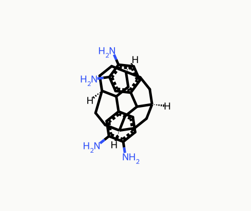 Nc1ccc(C2C[C@H]3CC[C@@H]2CC[C@@H]2CC[C@H](CC3)C(c3ccc(N)c(N)c3)C2)cc1N